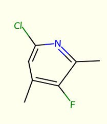 Cc1cc(Cl)nc(C)c1F